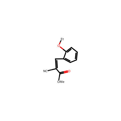 CCOc1ccccc1C=C(C#N)C(=O)OC